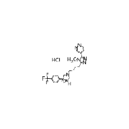 Cl.Cn1c(CCCCN2C[C@@H]3C[C@]3(c3ccc(C(F)(F)F)cc3)C2)nnc1-c1ccnnc1